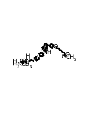 COC(=O)CCCCCCOc1ccc(-c2ccc3cnc(Nc4ccc(N5CCN(CCCNC(=O)OC(C)(C)C)CC5)cc4)nn23)cc1